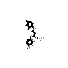 Cc1ccc(SCCC(Oc2ccc(Cl)cc2)C(=O)O)c(C)c1